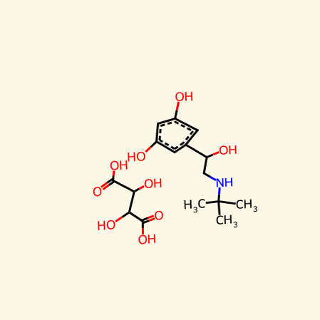 CC(C)(C)NCC(O)c1cc(O)cc(O)c1.O=C(O)C(O)C(O)C(=O)O